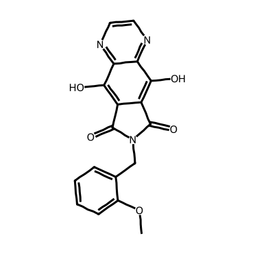 COc1ccccc1CN1C(=O)c2c(c(O)c3nccnc3c2O)C1=O